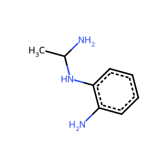 CC(N)Nc1ccccc1N